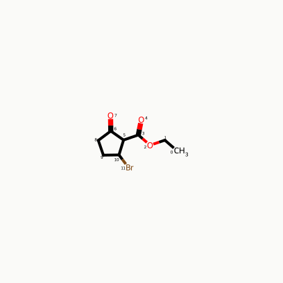 CCOC(=O)C1C(=O)CCC1Br